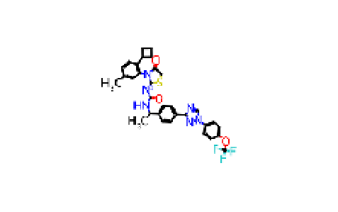 Cc1ccc(C2CCC2)c(N2C(=O)CS/C2=N\C(=O)NC(C)c2ccc(-c3ncn(-c4ccc(OC(F)(F)F)cc4)n3)cc2)c1